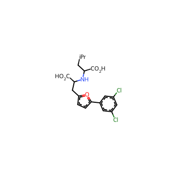 CC(C)CC(NC(Cc1ccc(-c2cc(Cl)cc(Cl)c2)o1)C(=O)O)C(=O)O